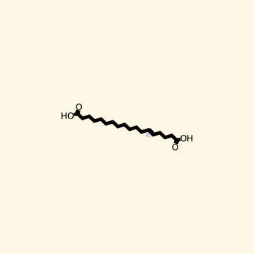 O=C(O)CCC/C=C/CCCCCCCCCCCC(=O)O